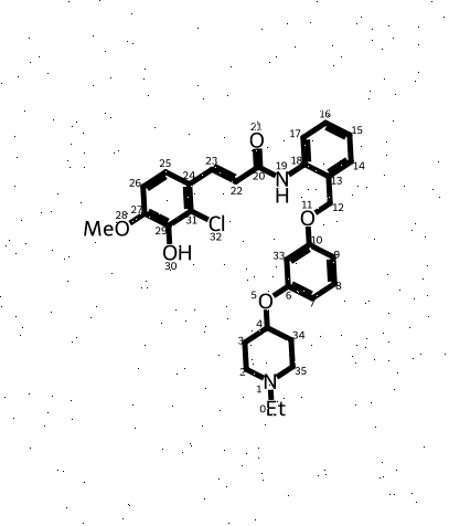 CCN1CCC(Oc2cccc(OCc3ccccc3NC(=O)C=Cc3ccc(OC)c(O)c3Cl)c2)CC1